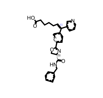 O=C(O)CCCC/C=C(\c1ccc(C2=N[C@H](C(=O)NCc3ccccc3)CO2)cc1)c1cccnc1